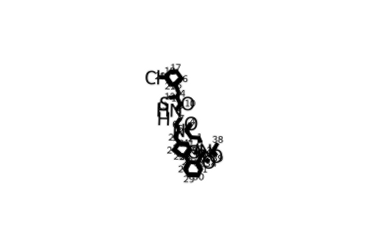 CCCC(=O)N(CCNC(=O)C(CS)Cc1cccc(Cl)c1)Cc1ccc(-c2ccccc2S(=O)(=O)NC(C)=O)cc1